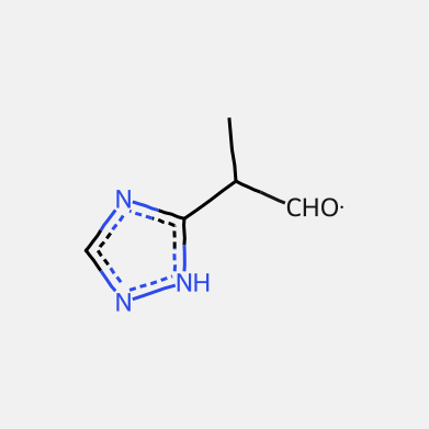 CC([C]=O)c1ncn[nH]1